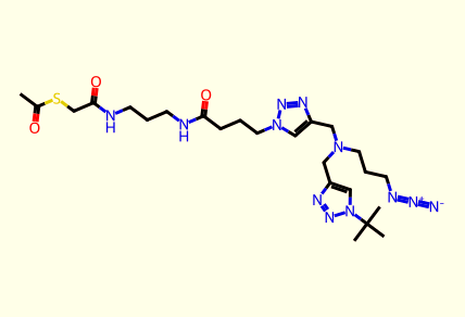 CC(=O)SCC(=O)NCCCNC(=O)CCCn1cc(CN(CCCN=[N+]=[N-])Cc2cn(C(C)(C)C)nn2)nn1